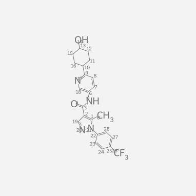 Cc1c(C(=O)Nc2ccc(C3CCC(O)CC3)nc2)cnn1-c1ccc(C(F)(F)F)cc1